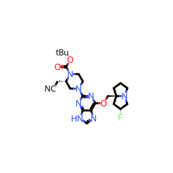 CC(C)(C)OC(=O)N1CCN(c2nc(OC[C@@]34CCCN3C[C@H](F)C4)c3nc[nH]c3n2)C[C@@H]1CC#N